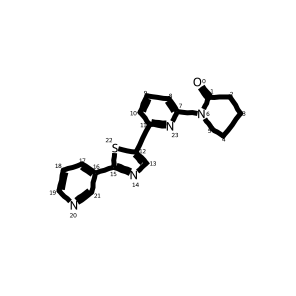 O=C1CCCCN1c1cccc(-c2cnc(-c3cccnc3)s2)n1